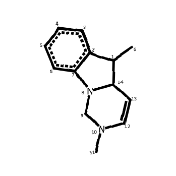 CC1c2ccccc2N2CN(C)C=CC12